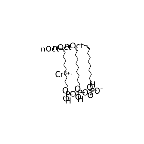 CCCCCCCC/C=C\CCCCCCCCO[PH](=O)[O-].CCCCCCCC/C=C\CCCCCCCCO[PH](=O)[O-].CCCCCCCC/C=C\CCCCCCCCO[PH](=O)[O-].[Cr+3]